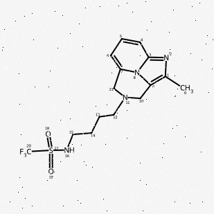 Cc1nc2cccc3n2c1CN(CCCCNS(=O)(=O)C(F)(F)F)C3